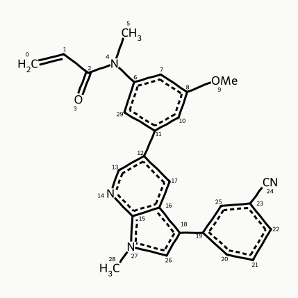 C=CC(=O)N(C)c1cc(OC)cc(-c2cnc3c(c2)c(-c2cccc(C#N)c2)cn3C)c1